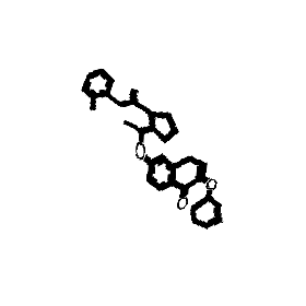 Cc1ccccc1CC(C)C1CCCC1C(C)Oc1ccc2c(c1)CC=C(OC1=CCCCC1)C2=O